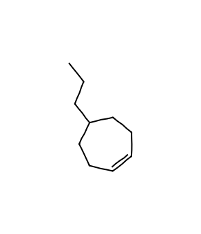 CCCC1CCC=CCC1